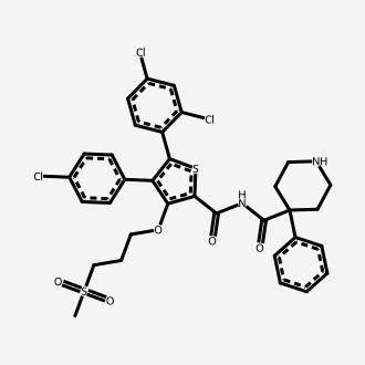 CS(=O)(=O)CCCOc1c(C(=O)NC(=O)C2(c3ccccc3)CCNCC2)sc(-c2ccc(Cl)cc2Cl)c1-c1ccc(Cl)cc1